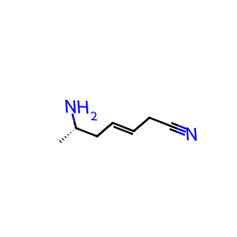 C[C@H](N)C/C=C/CC#N